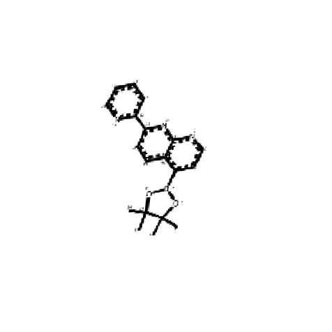 CC1(C)OB(c2ccnc3nc(-c4ccccn4)ccc23)OC1(C)C